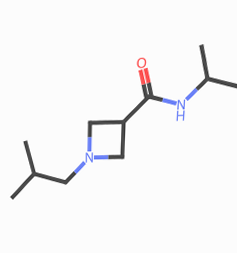 CC(C)CN1CC(C(=O)NC(C)C)C1